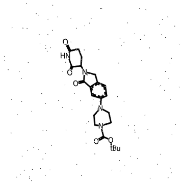 CC(C)(C)OC(=O)N1CCN(c2ccc3c(c2)C(=O)N(C2CCC(=O)NC2=O)C3)CC1